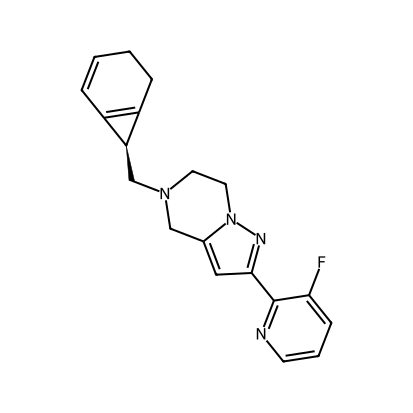 Fc1cccnc1-c1cc2n(n1)CCN(C[C@H]1C3=C1CCC=C3)C2